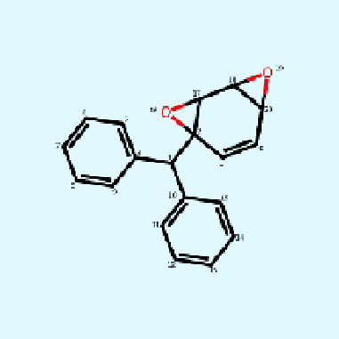 C1=CC2(C(c3ccccc3)c3ccccc3)OC2C2OC12